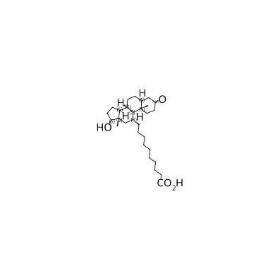 C[C@]12CCC(=O)C[C@@H]1CC[C@@H]1[C@@H]2[C@@H](CCCCCCCCCC(=O)O)C[C@]2(C)[C@@H](O)CC[C@@H]12